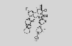 Cc1[nH]c(=O)c(Nc2ccc(N3CCN(C4COC4)C[C@@H]3C)cn2)cc1-c1cc(F)cc(N2CCn3c(cc4c3CCCC4)C2=O)c1CO